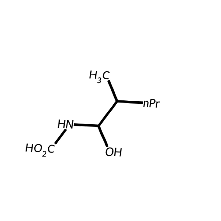 CCCC(C)C(O)NC(=O)O